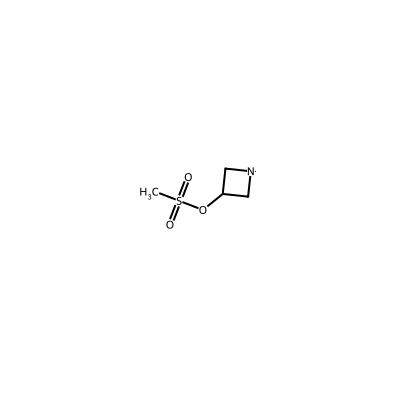 CS(=O)(=O)OC1C[N]C1